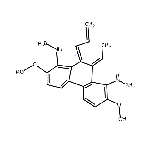 BNc1c(OO)ccc2c1c(=C/C)/c(=C\C=C)c1c(NB)c(OO)ccc12